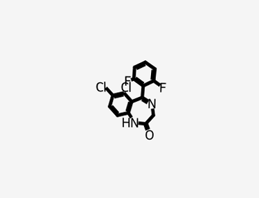 O=C1CN=C(c2c(F)cccc2F)c2c(ccc(Cl)c2Cl)N1